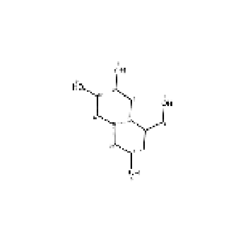 CC(CO)SCCO.OCCSCCO